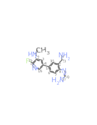 CNc1cc(-c2ccc(/N=C\N)c(CN)c2)cnc1F